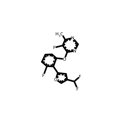 Cc1ncnc(Oc2cccc(F)c2-c2cc(C(F)F)co2)c1F